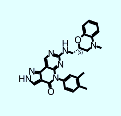 Cc1ccc(-n2c(=O)c3c[nH]nc3c3cnc(NC[C@H]4CN(C)c5ccccc5O4)nc32)cc1C